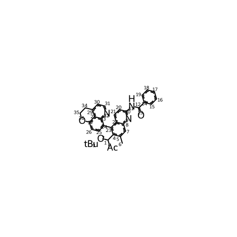 CC(=O)C(OC(C)(C)C)c1c(C)cc2nc(NC(=O)c3ccccc3)ccc2c1-c1ccc2c3c(ccnc13)CCO2